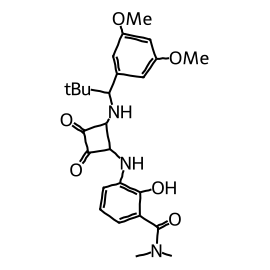 COc1cc(OC)cc(C(NC2C(=O)C(=O)C2Nc2cccc(C(=O)N(C)C)c2O)C(C)(C)C)c1